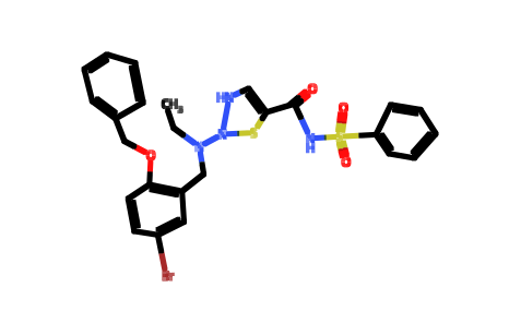 CCN(Cc1cc(Br)ccc1OCc1ccccc1)N1NC=C(C(=O)NS(=O)(=O)c2ccccc2)S1